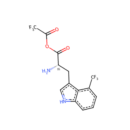 N[C@@H](Cc1c[nH]c2cccc(C(F)(F)F)c12)C(=O)OC(=O)C(F)(F)F